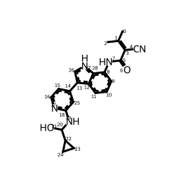 CC(C)=C(C#N)C(=O)Nc1cccc2c(-c3ccnc(NC(O)C4CC4)c3)c[nH]c12